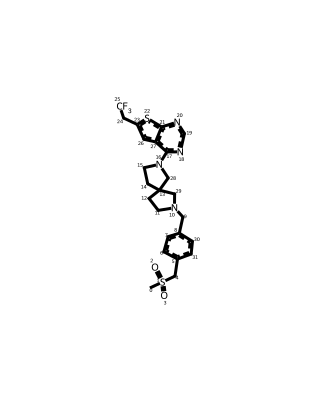 CS(=O)(=O)Cc1ccc(CN2CCC3(CCN(c4ncnc5sc(CC(F)(F)F)cc45)C3)C2)cc1